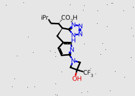 CC(C)C[C@H](C(=O)O)[C@H](Cc1ccc(N2CC(O)(C(F)(F)F)C2)nc1)c1nnn[nH]1